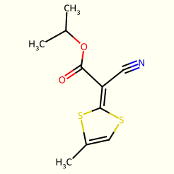 CC1=CSC(=C(C#N)C(=O)OC(C)C)S1